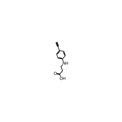 C#Cc1ccc(NCCC(=O)O)cc1